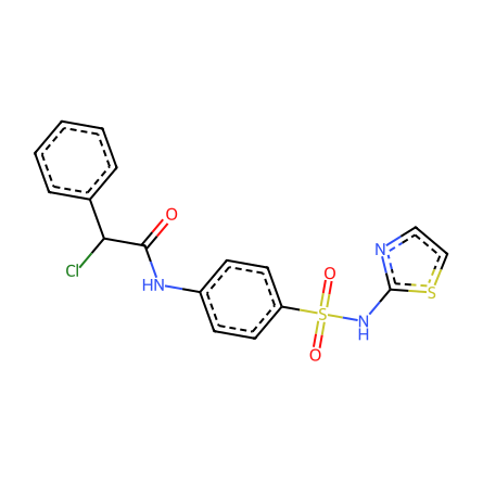 O=C(Nc1ccc(S(=O)(=O)Nc2nccs2)cc1)C(Cl)c1ccccc1